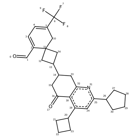 O=CC1=CC=C(C(F)(F)F)CC12CC(C1CC(=O)c3c(C4CCC4)cc(C4CCCC4)nc3C1)C2